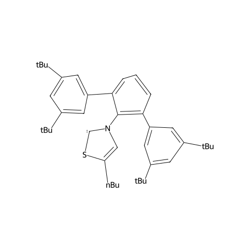 CCCCC1=CN(c2c(-c3cc(C(C)(C)C)cc(C(C)(C)C)c3)cccc2-c2cc(C(C)(C)C)cc(C(C)(C)C)c2)[C]S1